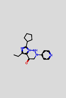 CCc1nc(C2CCCC2)n2c1C(=O)CN(c1ccncc1)N2